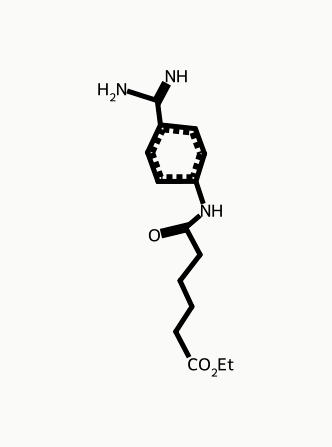 CCOC(=O)CCCCC(=O)Nc1ccc(C(=N)N)cc1